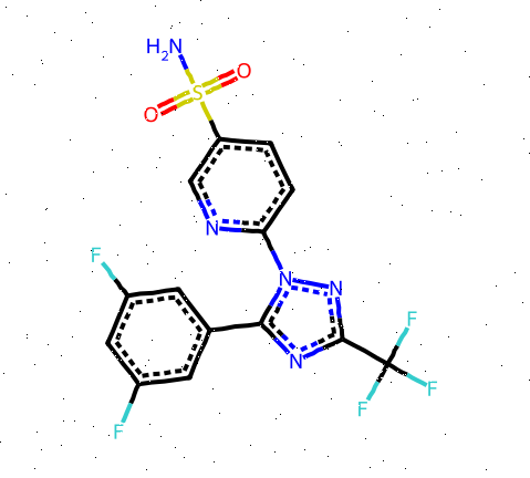 NS(=O)(=O)c1ccc(-n2nc(C(F)(F)F)nc2-c2cc(F)cc(F)c2)nc1